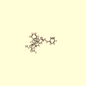 CC(C)CN(CC(O)CN(C)CCc1cccnc1)S(=O)(=O)Cc1ccccc1